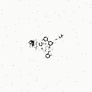 COc1c(CN2O[C@@H](CO)[C@@H]([C@H](C)O)[C@H]2C(=O)N[C@H]2C[C@H]3C[C@@H]([C@@H]2C)C3(C)C)cccc1-c1cc(C(=O)N[C@H](CN(C)C)[C@@H](NS(C)(=O)=O)c2ccccc2)cc(N(C)CCO[Si](C)(C)C(C)(C)C)c1